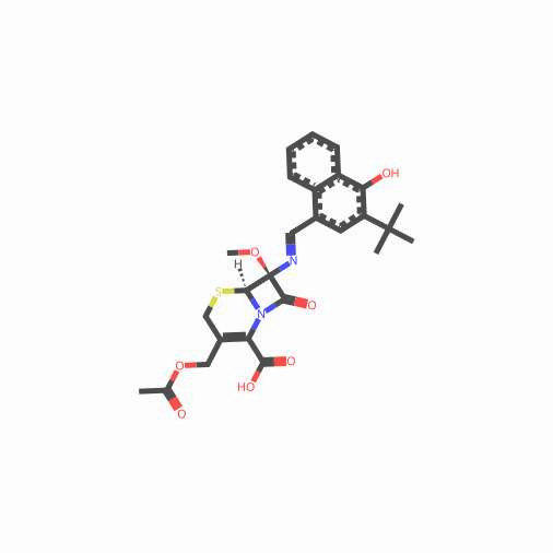 CO[C@@]1(N=Cc2cc(C(C)(C)C)c(O)c3ccccc23)C(=O)N2C(C(=O)O)=C(COC(C)=O)CS[C@H]21